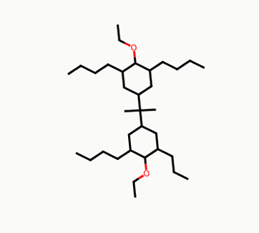 CCCCC1CC(C(C)(C)C2CC(CCCC)C(OCC)C(CCCC)C2)CC(CCC)C1OCC